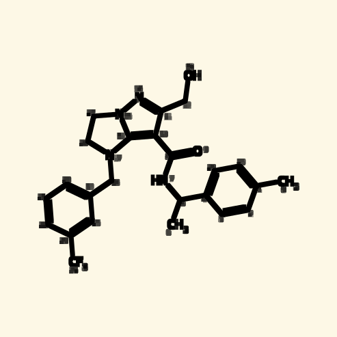 Cc1ccc(C(C)NC(=O)c2c(CO)nn3c2N(Cc2cccc(C(F)(F)F)c2)CC3)cc1